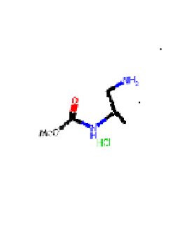 COC(=O)NC(C)CN.Cl